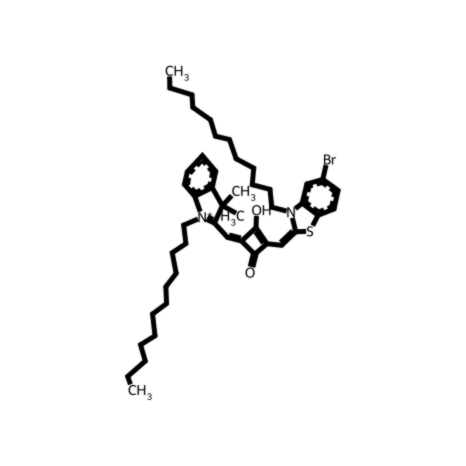 CCCCCCCCCCCCN1/C(=C\C2=C(O)C(=C\C3=[N+](CCCCCCCCCCCC)c4ccccc4C3(C)C)/C2=O)Sc2ccc(Br)cc21